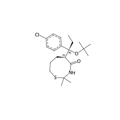 CC[C@](OC(C)(C)C)(c1ccc(Cl)cc1)[C@@H]1CCCSC(C)(C)NC1=O